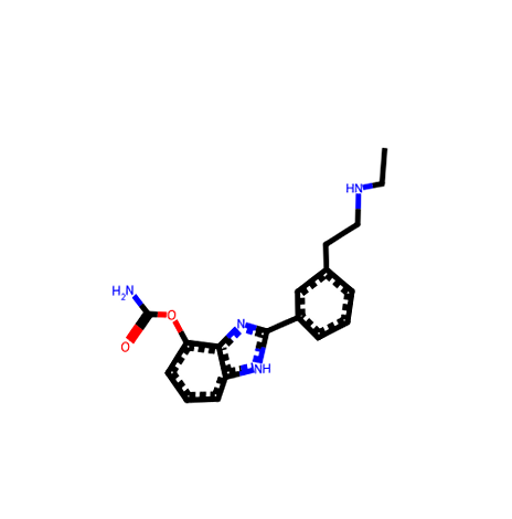 CCNCCc1cccc(-c2nc3c(OC(N)=O)cccc3[nH]2)c1